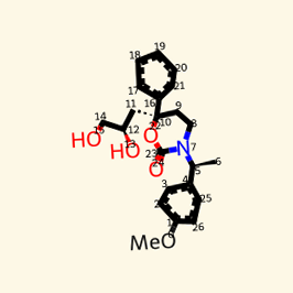 COc1ccc([C@H](C)N2CC[C@](C[C@@H](O)CO)(c3ccccc3)OC2=O)cc1